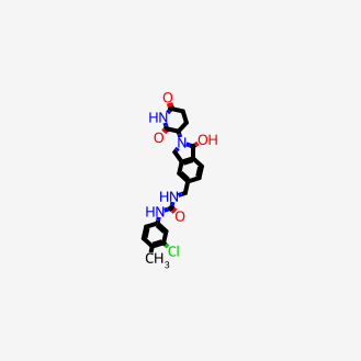 Cc1ccc(NC(=O)NCc2ccc3c(c2)CN(C2CCC(=O)NC2=O)C3O)cc1Cl